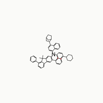 CC1(C)c2cc(N(c3ccc(C4CCCCC4)cc3)c3ccc(C4CC5CCC4C5)c4ccccc34)c(-c3ccccc3)cc2-c2cccc(-c3ccccc3)c21